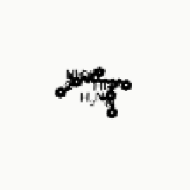 NCc1cc(C(O)CN(CCCCCCN(Cc2ccccc2)CC(O)c2ccc(OCc3ccccc3)c(CN)c2)Cc2ccccc2)ccc1OCc1ccccc1